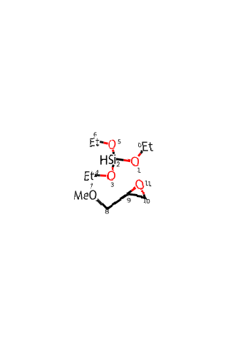 CCO[SiH](OCC)OCC.COCC1CO1